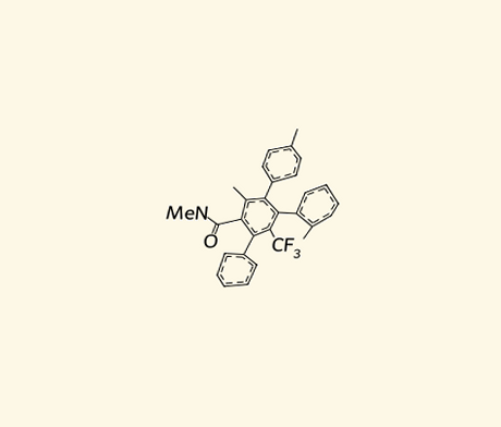 CNC(=O)c1c(C)c(-c2ccc(C)cc2)c(-c2ccccc2C)c(C(F)(F)F)c1-c1ccccc1